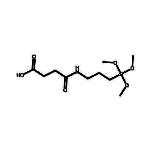 CO[Si](CCCNC(=O)CCC(=O)O)(OC)OC